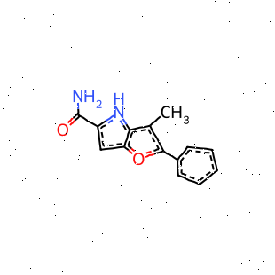 Cc1c(-c2ccccc2)oc2cc(C(N)=O)[nH]c12